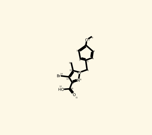 COc1ccc(Cn2nc(C(=O)O)c(Br)c2C)cc1